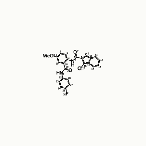 COc1ccc(NC(=O)c2sc3ccccc3c2Cl)c(C(=O)Nc2ccc(F)cc2)c1